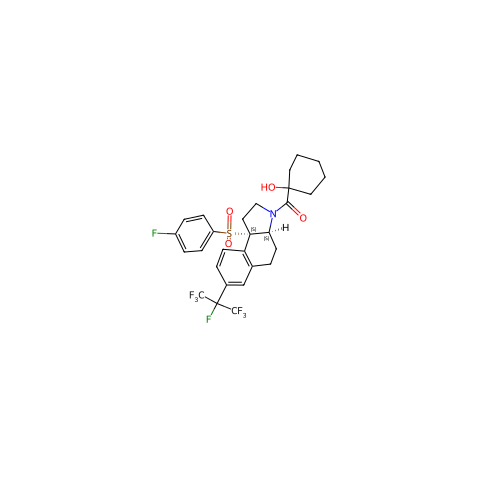 O=C(N1CC[C@]2(S(=O)(=O)c3ccc(F)cc3)c3ccc(C(F)(C(F)(F)F)C(F)(F)F)cc3CC[C@H]12)C1(O)CCCCC1